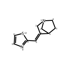 C(=C1/CN2CCC1C2)/c1nccs1